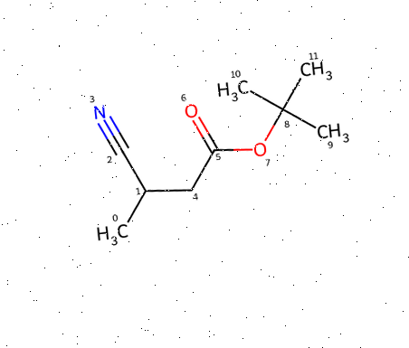 CC(C#N)CC(=O)OC(C)(C)C